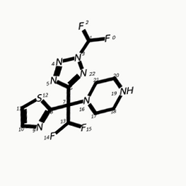 FC(F)n1nnc(C(c2nccs2)(C(F)F)N2CCNCC2)n1